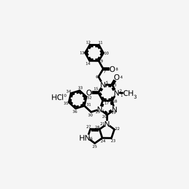 Cl.Cn1c(=O)n(CC(=O)c2ccccc2)c(=O)c2c1nc(N1CCC3CNC=C31)n2Cc1ccccc1